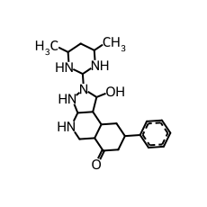 CC1CC(C)NC(N2NC3NCC4C(=O)CC(c5ccccc5)CC4C3C2O)N1